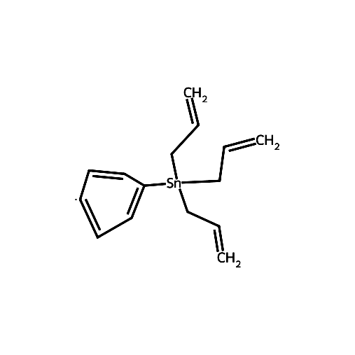 C=C[CH2][Sn]([CH2]C=C)([CH2]C=C)[c]1cc[c]cc1